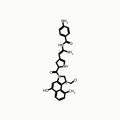 Cc1cccc2c(O)cc3c(c12)[C@H](CCl)CN3C(=O)C1CC(/C=C(\N)NC(=O)c2ccc(N)cc2)=CN1